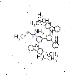 C=C/C=C\C=C(/N)c1cc(-c2cc(C3=CC=CCN3)cc(-n3c4ccccc4c4ccc(CC(C)(C)C)cc43)c2)cc(-n2c3ccccc3c3ccc(CC(C)(C)C)cc32)c1